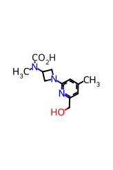 Cc1cc(CO)nc(N2CC(N(C)C(=O)O)C2)c1